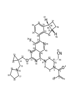 C=C(F)C(=O)N1CCN(c2nc(OCC3(CN4CCCC4)CC3)nc3c(F)c(-c4cccc5c4C[C@H]4CC[C@@H]54)ncc23)C[C@@H]1CC#N